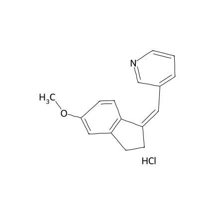 COc1ccc2c(c1)CC/C2=C/c1cccnc1.Cl